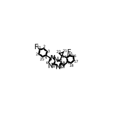 Fc1ccc(-c2cnc3nnc(C4(c5c(F)cccc5Cl)CC4)n3n2)cc1